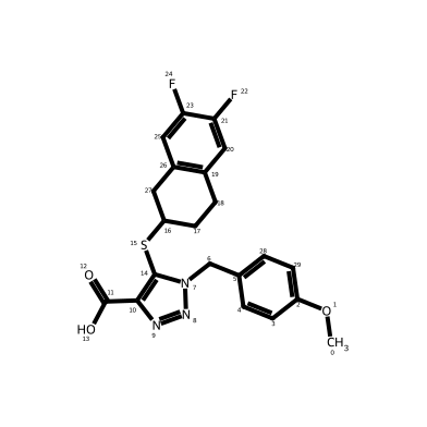 COc1ccc(Cn2nnc(C(=O)O)c2SC2CCc3cc(F)c(F)cc3C2)cc1